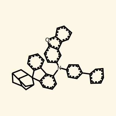 c1ccc(-c2ccc(N(c3ccc4oc5ccccc5c4c3)c3cccc4c3-c3ccccc3C43C4CC5CC(C4)CC3C5)cc2)cc1